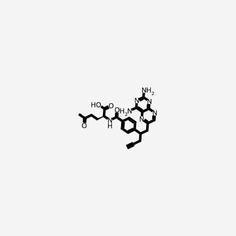 C#CCC(Cc1cnc2nc(N)nc(N)c2n1)c1ccc(C(=O)N[C@@H](CCC(C)=O)C(=O)O)cc1